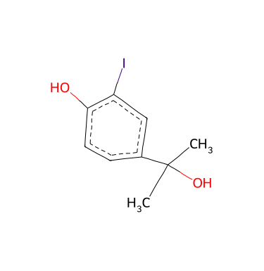 CC(C)(O)c1ccc(O)c(I)c1